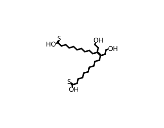 OCCC(CCCCCCCCCC(O)=S)=C(CCO)CCCCCCCCCC(O)=S